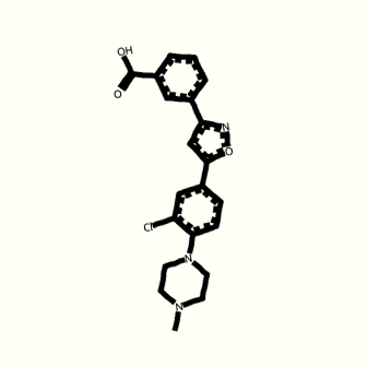 CN1CCN(c2ccc(-c3cc(-c4cccc(C(=O)O)c4)no3)cc2Cl)CC1